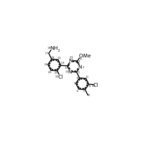 COc1nc(-c2ccc(C)c(Cl)c2)nc(-c2cc(CN)ccc2Cl)n1